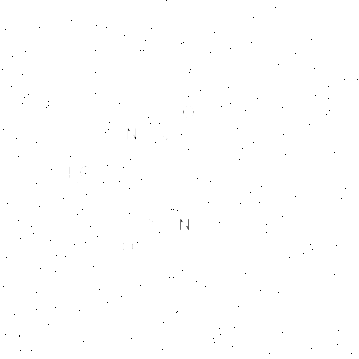 CC1=C2C(=O)N(Cc3ccccc3)C(C3CCCCC3)=C2C(=O)N1Cc1ccccc1